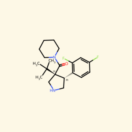 CC(C)(C)[C@]1(C(=O)N2CCCCC2)CNC[C@H]1c1ccc(F)cc1F